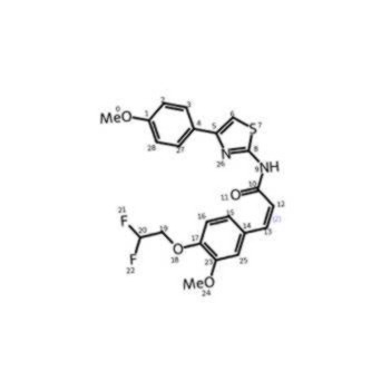 COc1ccc(-c2csc(NC(=O)/C=C\c3ccc(OCC(F)F)c(OC)c3)n2)cc1